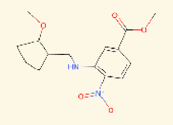 COC(=O)c1ccc([N+](=O)[O-])c(NCC2CCCC2OC)c1